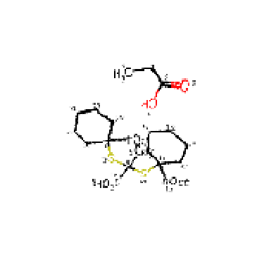 CCC(=O)O.CCCCCCCCC1(SC(C)(SC2(CCCCCCCC)CCCCC2)C(=O)O)CCCCC1